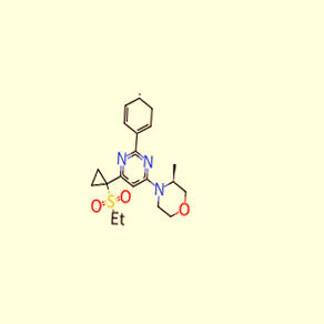 CCS(=O)(=O)C1(c2cc(N3CCOC[C@@H]3C)nc(C3=CC[CH]C=C3)n2)CC1